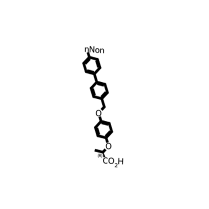 CCCCCCCCCc1ccc(-c2ccc(COc3ccc(O[C@H](C)C(=O)O)cc3)cc2)cc1